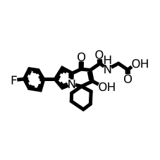 O=C(O)CNC(=O)C1=C(O)C2(CCCCC2)n2cc(-c3ccc(F)cc3)cc2C1=O